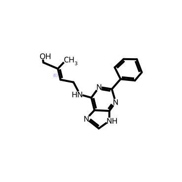 C/C(=C\CNc1nc(-c2ccccc2)nc2[nH]cnc12)CO